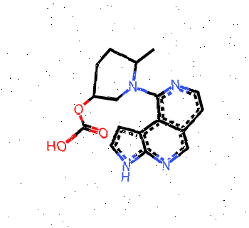 CC1CCC(OC(=O)O)CN1c1nccc2cnc3[nH]ccc3c12